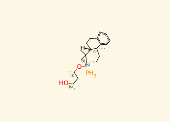 C[C@H](O)C[C@H](C)O[C@@H](P)[C@H]1CC[C@]2(C)c3ccccc3CC[C@H]2C1(C)C